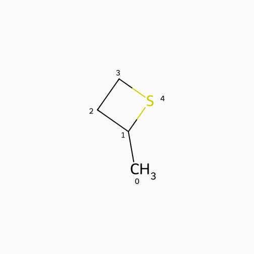 CC1CCS1